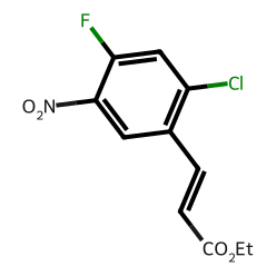 CCOC(=O)C=Cc1cc([N+](=O)[O-])c(F)cc1Cl